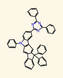 c1ccc(-c2nc(-c3ccccc3)nc(-c3ccc4c(c3)c3cc5c(cc3n4-c3ccccc3)-c3ccccc3C5(c3ccccc3)c3ccccc3)n2)cc1